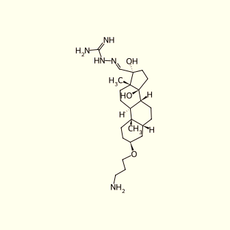 C[C@]12CC[C@H](OCCCN)C[C@H]1CC[C@@H]1[C@@H]2CC[C@]2(C)[C@@](O)(/C=N/NC(=N)N)CC[C@]12O